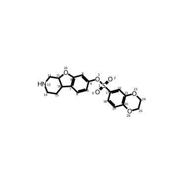 O=S(=O)(Oc1ccc2c(c1)OC1CNCCC21)c1ccc2c(c1)OCCO2